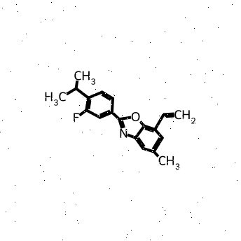 C=Cc1cc(C)cc2nc(-c3ccc(C(C)C)c(F)c3)oc12